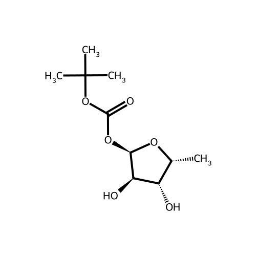 C[C@H]1O[C@H](OC(=O)OC(C)(C)C)[C@H](O)[C@H]1O